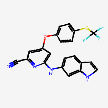 N#Cc1cc(Oc2ccc(SC(F)(F)F)cc2)cc(Nc2ccc3cc[nH]c3c2)n1